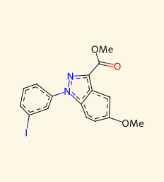 COC(=O)c1nn(-c2cccc(I)c2)c2ccc(OC)cc12